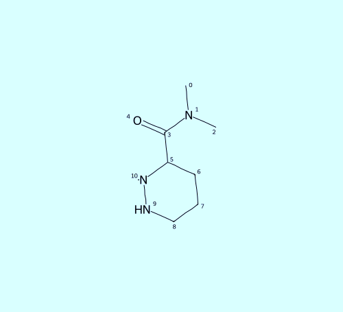 CN(C)C(=O)C1CCCN[N]1